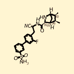 C[C@@H]1[C@H](C)[C@@H]2C[C@@H]1[C@@H](C(=O)N[C@H](C#N)Cc1ccc(-c3cccc(S(N)(=O)=O)c3)cc1F)N2